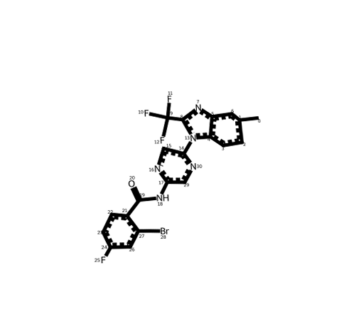 Cc1ccc2c(c1)nc(C(F)(F)F)n2-c1cnc(NC(=O)c2ccc(F)cc2Br)cn1